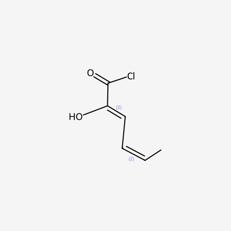 C/C=C\C=C(/O)C(=O)Cl